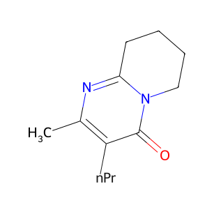 CCCc1c(C)nc2n(c1=O)CCCC2